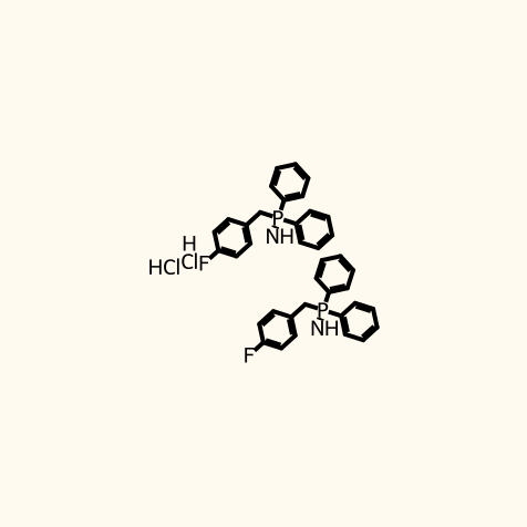 Cl.Cl.N=P(Cc1ccc(F)cc1)(c1ccccc1)c1ccccc1.N=P(Cc1ccc(F)cc1)(c1ccccc1)c1ccccc1